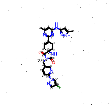 Cc1cc(Nc2cc(C)[nH]n2)nc(C2=CC[C@]3(CC2)NC(=O)N([C@@H](C)c2ccc(-n4cc(F)cn4)nc2)C3=O)n1